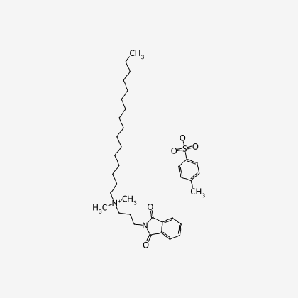 CCCCCCCCCCCCCCCC[N+](C)(C)CCCN1C(=O)c2ccccc2C1=O.Cc1ccc(S(=O)(=O)[O-])cc1